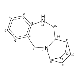 c1ccc2c(c1)CN1C3CCC(CC3)C1CN2